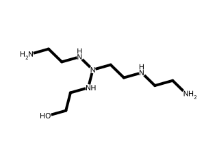 NCCNCCN(NCCN)NCCO